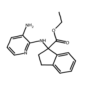 CCOC(=O)C1(Nc2ncccc2N)CCc2ccccc21